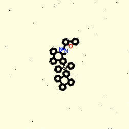 c1ccc([Si](c2ccccc2)(c2ccc3c(c2)-c2ccccc2-c2ccccc2-c2ccccc2-3)c2ccc3c(c2)-c2ccccc2-c2ccccc2-c2nc(-c4cccc5c4oc4ccccc45)ncc2-3)cc1